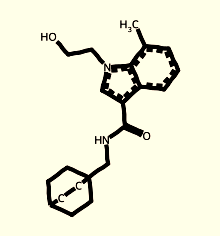 Cc1cccc2c(C(=O)NCC34CCC(CC3)CC4)cn(CCO)c12